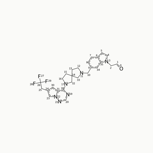 O=CCn1ccc2ccc(CN3CCC4(CCN(c5ncnn6cc(CC(F)(F)F)cc56)C4)C3)cc21